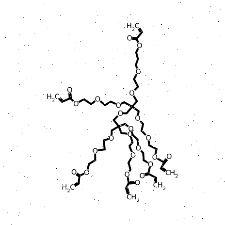 C=CC(=O)OCCCOCCOCC(COCCOCCOC(=O)C=C)(COCCOCCOC(=O)C=C)COCC(COCCOCCOC(=O)C=C)(COCCOCCOC(=O)C=C)COCCOCCOC(=O)C=C